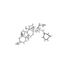 C[C@]12CC[C@H]3[C@@H](CC=C4C[C@@H](O)CC[C@@]43C)[C@@H]1CC[C@@H]2/C(CCc1cccnc1)=N/O